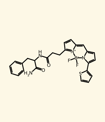 NC(=O)C(Cc1ccccc1)NC(=O)CCC1=[N+]2C(=Cc3ccc(-c4cccs4)n3[B-]2(F)F)C=C1